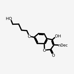 CCCCCCCCCCc1c(O)c2ccc(OCCCCO)cc2oc1=O